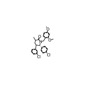 COc1ccc(CN2C(=O)C(C)CC(c3cccc(Cl)c3)[C@H]2c2ccc(Cl)cc2)c(OC)c1